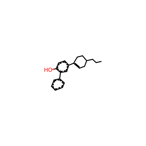 CCCC1CC=C(c2ccc(O)c(-c3ccccc3)c2)CC1